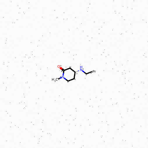 CC(C)CN[C@@H]1CCN(C)C(=O)C1